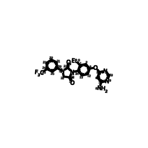 CCc1cc(Oc2cc(N)ncn2)ccc1N1C(=O)CN(c2cccc(C(F)(F)F)c2)C1=O